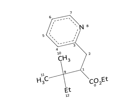 CCOC(=O)C(Cc1ccccn1)C(C)(C)CC